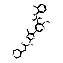 COc1ncc(-c2sc(NC(=O)CC3CCOCC3)nc2C)cc1S(=O)(=O)Nc1ccccc1I